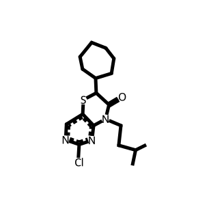 CC(C)CCN1C(=O)C(C2CCCCCC2)Sc2cnc(Cl)nc21